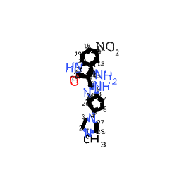 CN1CCN(c2ccc3[nH]c(-c4c(N)c5cc([N+](=O)[O-])ccc5[nH]c4=O)nc3c2)CC1